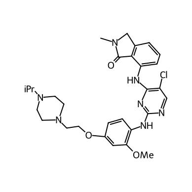 COc1cc(OCCN2CCN(C(C)C)CC2)ccc1Nc1ncc(Cl)c(Nc2cccc3c2C(=O)N(C)C3)n1